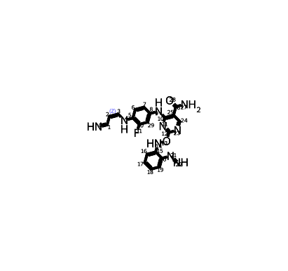 N=C/C=C\Nc1ccc(Nc2nc(ONc3ccccc3N=N)ncc2C(N)=O)cc1F